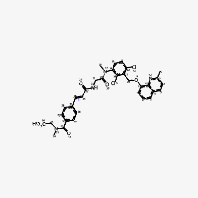 Cc1ccc2cccc(OCc3c(Cl)ccc(N(C)C(=O)CNC(=O)/C=C/c4ccc(C(=O)N(C)CC(=O)O)cc4)c3Cl)c2n1